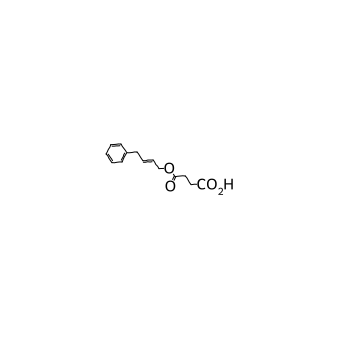 O=C(O)CCC(=O)OCC=CCc1ccccc1